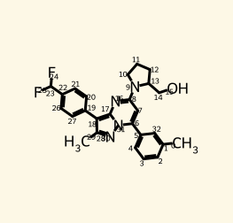 Cc1cccc(-c2cc(N3CCCC3CO)nc3c(-c4ccc(C(F)F)cc4)c(C)nn23)c1